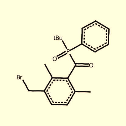 Cc1ccc(CBr)c(C)c1C(=O)P(=O)(c1ccccc1)C(C)(C)C